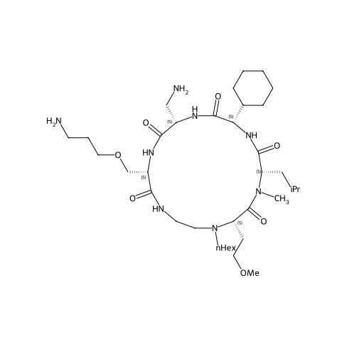 CCCCCCN1CCNC(=O)[C@H](COCCCN)NC(=O)[C@H](CN)NC(=O)[C@H](C2CCCCC2)NC(=O)[C@H](CC(C)C)N(C)C(=O)[C@@H]1CCOC